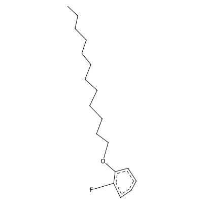 CCCCCCCCCCCCOc1ccccc1F